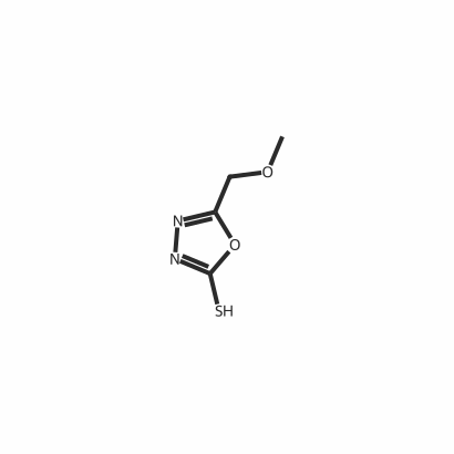 COCc1nnc(S)o1